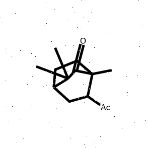 CC(=O)C1CC2CCC1(C)C(=O)C2(C)C